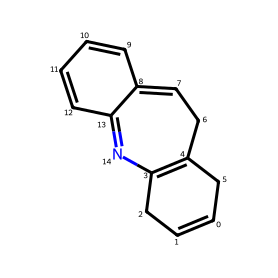 C1=CCC2=C(C1)CC=c1ccccc1=N2